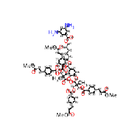 COC(=O)/C=C/c1ccc(C(=O)OCC(C)(COC(=O)c2ccc(/C=C/C(=O)OC)cc2)C(=O)Oc2ccc(C(=O)OCCCCCCOC(=O)c3cc(N)cc(N)c3)cc2OC(=O)C(C)(COC(=O)c2ccc(/C=C/C(=O)OC)cc2)COC(=O)c2ccc(/C=C/C(=O)OC)cc2)cc1